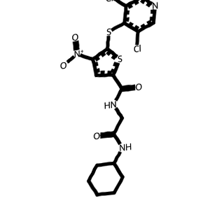 O=C(CNC(=O)c1cc([N+](=O)[O-])c(Sc2c(Cl)cncc2Cl)s1)NC1CCCCC1